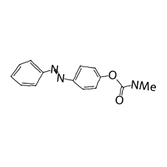 CNC(=O)Oc1ccc(N=Nc2ccccc2)cc1